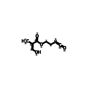 CC(=CO)C(=O)OCCN=C=O